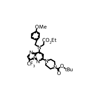 CCOC(=O)CN(Cc1ccc(OC)cc1)c1cc(N2CCN(C(=O)OC(C)(C)C)CC2)nn2c(C(F)(F)F)cnc12